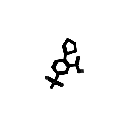 CS(=O)(=O)c1ccc(C2=CCCC2)c(C(=O)O)c1